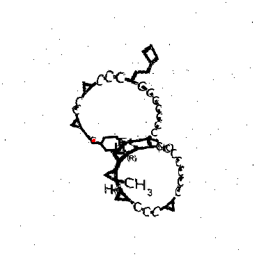 CCC1C(C2(CN=O)CCCCCCCC(CCC3CCC3)CCCC3CC3CCC3CC3C3CC4(CCC2CC4)C3)CCCCCCCC2CC2CCCC2C[C@H]2C2(C)CC2C2C[C@H]12